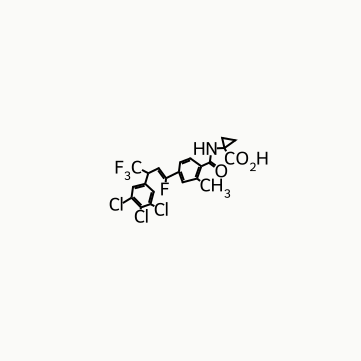 Cc1cc(C(F)=CC(c2cc(Cl)c(Cl)c(Cl)c2)C(F)(F)F)ccc1C(=O)NC1(C(=O)O)CC1